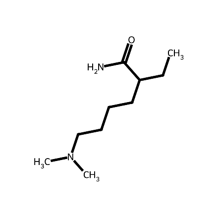 CCC(CCCCN(C)C)C(N)=O